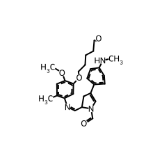 CNc1ccc(C2=CN(C=O)C(/C=N\c3cc(OCCCCC=O)c(OC)cc3C)C2)cc1